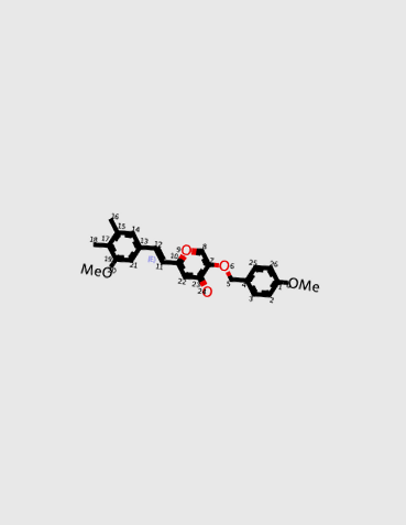 COc1ccc(COc2coc(/C=C/c3cc(C)c(C)c(OC)c3)cc2=O)cc1